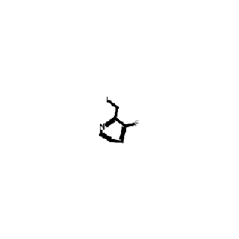 Fc1cccnc1CI